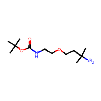 CC(C)(N)CCOCCNC(=O)OC(C)(C)C